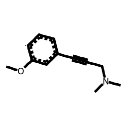 COc1[c]ccc(C#CCN(C)C)c1